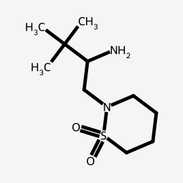 CC(C)(C)C(N)CN1CCCCS1(=O)=O